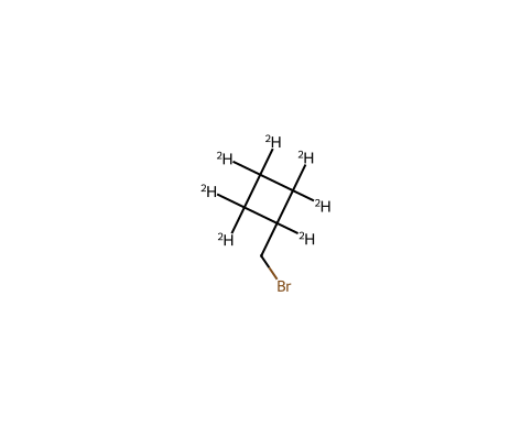 [2H]C1([2H])C([2H])([2H])C([2H])(CBr)C1([2H])[2H]